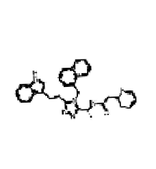 C[C@@H](NC(=O)CC1CC=CC=N1)c1nnc(CCc2c[nH]c3ccccc23)n1Cc1cccc2ccccc12